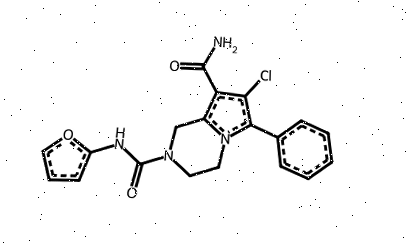 NC(=O)c1c(Cl)c(-c2ccccc2)n2c1CN(C(=O)Nc1ccco1)CC2